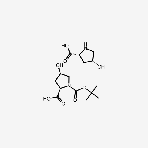 CC(C)(C)OC(=O)N1C[C@H](O)C[C@@H]1C(=O)O.O=C(O)[C@H]1C[C@@H](O)CN1